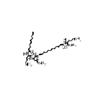 CCCCCCCCCC(=O)NC(CCCN)C(=O)NC(CCCN)C(=O)NCCCCCCCCCCCC(=O)NC(CCCN)C(N)=O